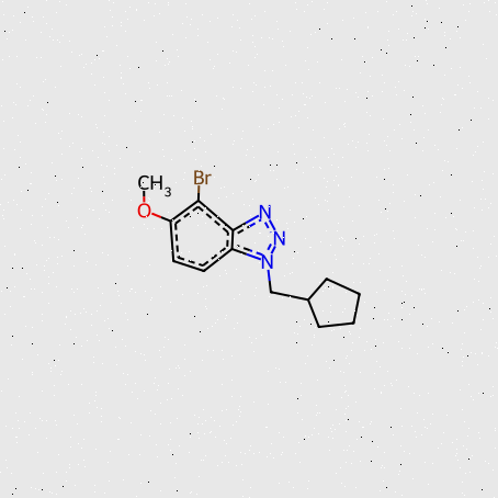 COc1ccc2c(nnn2CC2CCCC2)c1Br